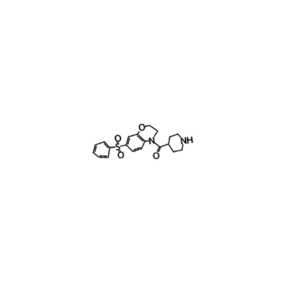 O=C(C1CCNCC1)N1CCOc2cc(S(=O)(=O)c3ccccc3)ccc21